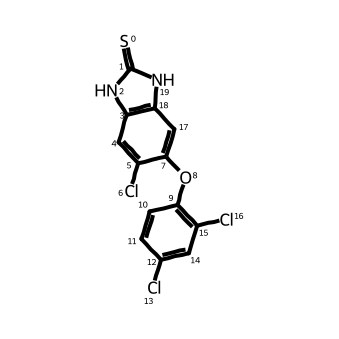 S=c1[nH]c2cc(Cl)c(Oc3ccc(Cl)cc3Cl)cc2[nH]1